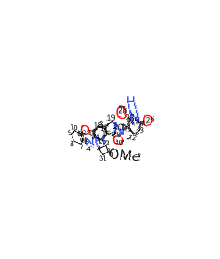 CO[C@H]1C[C@@H](CN[C@@H]2CCCC[C@H]2Oc2ccc3c(c2)CN(C2CCC(=O)NC2=O)C3=O)C1